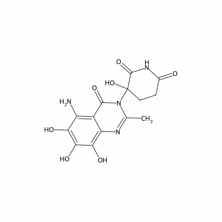 Cc1nc2c(O)c(O)c(O)c(N)c2c(=O)n1C1(O)CCC(=O)NC1=O